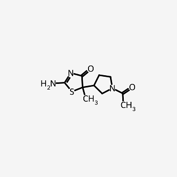 CC(=O)N1CCC(C2(C)SC(N)=NC2=O)C1